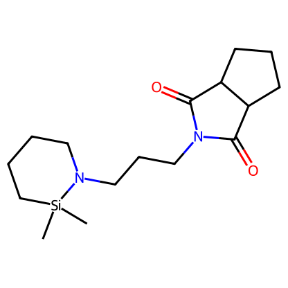 C[Si]1(C)CCCCN1CCCN1C(=O)C2CCCC2C1=O